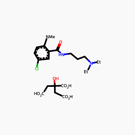 CCN(CC)CCCNC(=O)c1cc(Cl)ccc1NC.O=C(O)CC(O)(CC(=O)O)C(=O)O